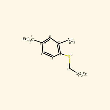 CCOC(=O)CSc1ccc(C(=O)OCC)cc1[N+](=O)[O-]